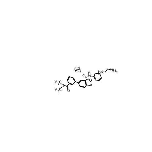 CN(C)C(=O)c1cccc(-c2ccc(F)c(S(=O)(=O)Nc3cccc(NCCN)c3)c2)c1.Cl.Cl